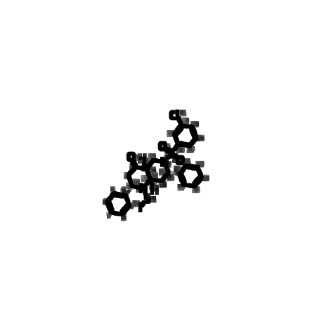 O=C1C[C@@H](c2ccccc2)N(SI)[C@H]2C[C@@H](c3ccccc3)N(S(=O)(=O)c3cccc(Cl)c3)C[C@@H]12